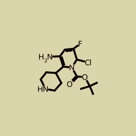 CC(C)(C)OC(=O)N1C(C2CCNCC2)=C(N)C=C(F)C1Cl